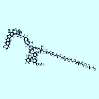 COc1ccc(C(NCCCC[C@H](NC(=O)COCC(=O)NCCOCCOCCOCCOCCOCCOCCOCCOCCN)C(=O)Nc2ccc(COC(=O)O[C@@H]3C(=O)OCc4c3cc3n(c4=O)Cc4cc5cc6c(cc5nc4-3)OCO6)cc2)(c2ccccc2)c2ccccc2)cc1